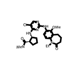 CCN1C(=O)CCCc2c1ccc(Nc1ncc(Cl)c(N[C@H]3CCC[C@H]3C(=O)NC)n1)c2OC